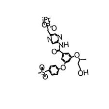 CC(C)OP(C)(=O)Cc1cnc(NC(=O)c2cc(Oc3ccc(S(C)(=O)=O)cc3)cc(O[C@@H](C)CCO)c2)cn1